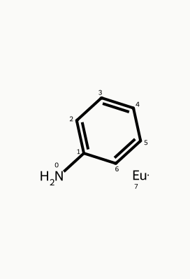 Nc1ccccc1.[Eu]